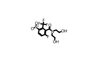 O=C(c1c(F)ccc([N+](=O)[O-])c1C(F)(F)F)N(CCO)CCO